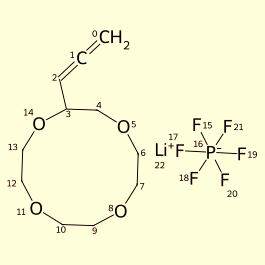 C=C=CC1COCCOCCOCCO1.F[P-](F)(F)(F)(F)F.[Li+]